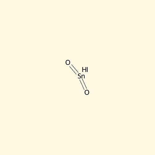 I.[O]=[Sn]=[O]